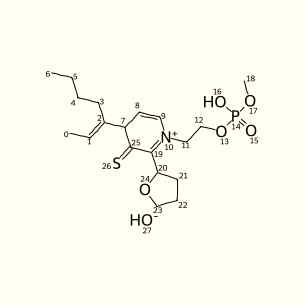 CC=C(CCCC)C1C=C[N+](CCOP(=O)(O)OC)=C(C2CCCO2)C1=S.[OH-]